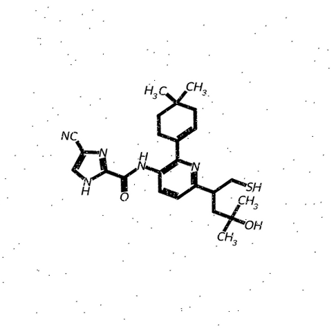 CC(C)(O)CC(CS)c1ccc(NC(=O)c2nc(C#N)c[nH]2)c(C2=CCC(C)(C)CC2)n1